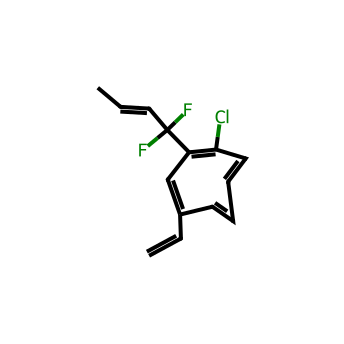 C=CC1=C/C(C(F)(F)/C=C/C)=C(Cl)\C=C\C=C\1